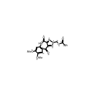 COc1cc2[nH]c(=O)c3nn(COC(=O)C(C)C)nc3c(=O)c2cc1OC